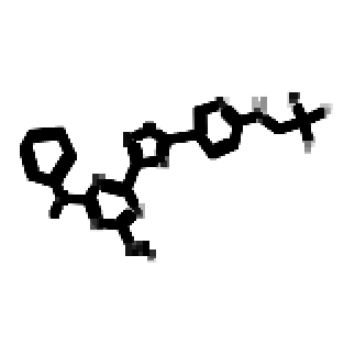 CN(c1ccccc1)c1nc(N)nc(-c2noc(-c3ccc(NCC(F)(F)F)nc3)n2)n1